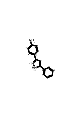 Nc1ccc(-c2cc(-c3ccccc3)[nH]n2)cc1